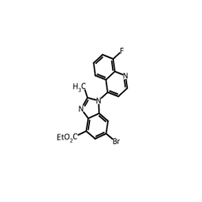 CCOC(=O)c1cc(Br)cc2c1nc(C)n2-c1ccnc2c(F)cccc12